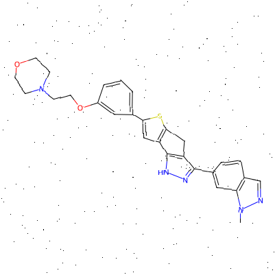 Cn1ncc2ccc(-c3n[nH]c4c3Cc3sc(-c5cccc(OCCN6CCOCC6)c5)cc3-4)cc21